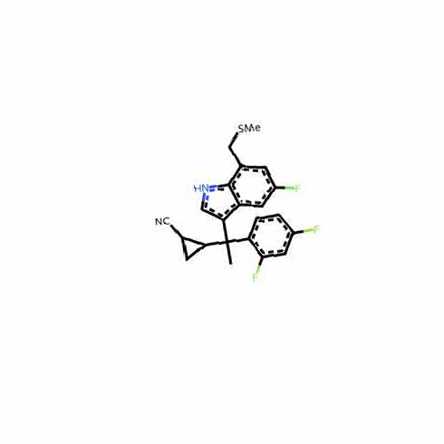 CSCc1cc(F)cc2c(C(C)(c3ccc(F)cc3F)C3CC3C#N)c[nH]c12